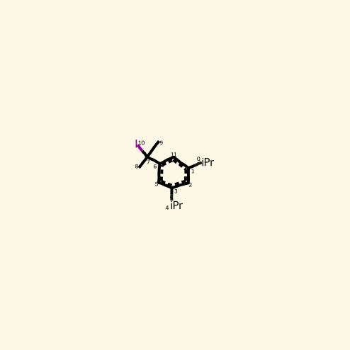 CC(C)c1cc(C(C)C)cc(C(C)(C)I)c1